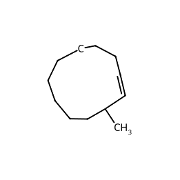 CC1/C=C\CCCCCCCC1